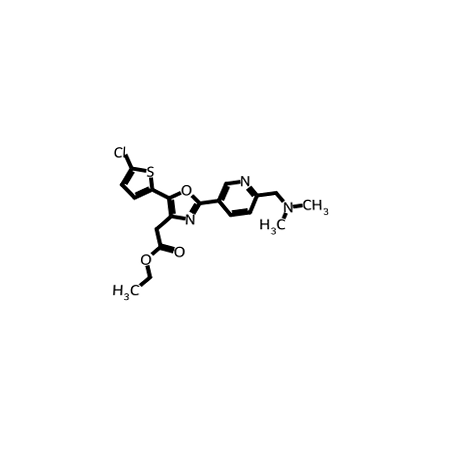 CCOC(=O)Cc1nc(-c2ccc(CN(C)C)nc2)oc1-c1ccc(Cl)s1